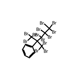 BrC(Br)(Br)C(Br)(Br)C(Br)(Br)C(c1[c]cccc1)(C(Br)(Br)Br)C(Br)(Br)Br